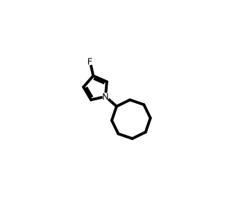 Fc1ccn(C2CCCCCCC2)c1